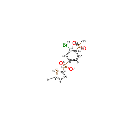 Cc1ccc(S(=O)(=O)c2ccc(S(C)(=O)=O)c(Br)c2)s1